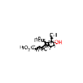 C#CC1C(O)CCC2(OC)C(=CCCC(=O)O)C(CCCC)C12